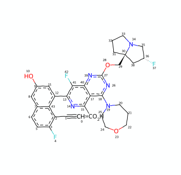 C#Cc1c(F)ccc2cc(O)cc(-c3nc(C(=O)O)c4c(N5CCCOCC5)nc(OC[C@@]56CCCN5C[C@H](F)C6)nc4c3F)c12